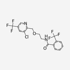 O=C(NCCOCc1ncc(C(F)(F)F)cc1Cl)c1ccccc1C(F)(F)F